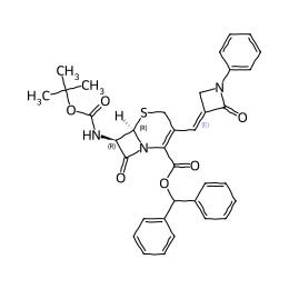 CC(C)(C)OC(=O)N[C@@H]1C(=O)N2C(C(=O)OC(c3ccccc3)c3ccccc3)=C(/C=C3\CN(c4ccccc4)C3=O)CS[C@H]12